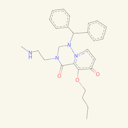 CCCCOc1c2n(ccc1=O)N(C(c1ccccc1)c1ccccc1)CN(CCNC)C2=O